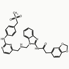 CS(=O)(=O)Cc1ccc(Nc2nccc(CNCn3c(NC(=O)Cc4ccc5c(c4)OCO5)nc4ccccc43)n2)cc1